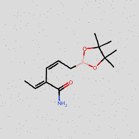 C/C=C(\C=C/CB1OC(C)(C)C(C)(C)O1)C(N)=O